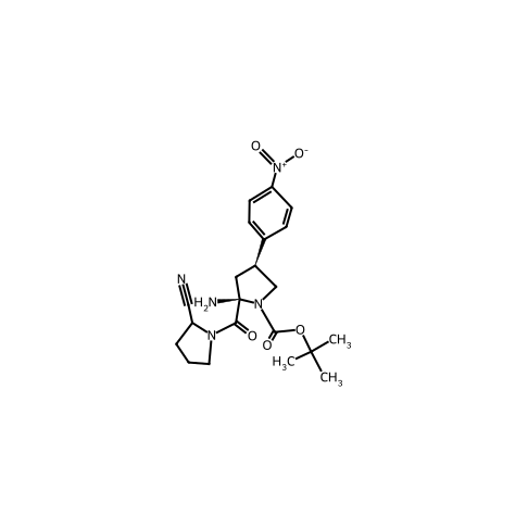 CC(C)(C)OC(=O)N1C[C@H](c2ccc([N+](=O)[O-])cc2)C[C@@]1(N)C(=O)N1CCCC1C#N